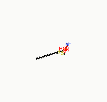 CCCCCCCCCCCCCCCCCCSCC(COP(=O)(O)OCC[N+](C)(C)C)SCC